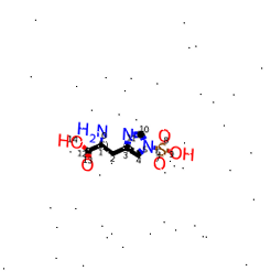 N[C@@H](Cc1cn(S(=O)(=O)O)cn1)C(=O)O